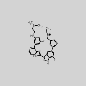 CCNCc1cncc(-c2cc(F)c3[nH]nc(-c4nc5c(-c6cc(F)cc(NCCN(C)C)c6)nccc5[nH]4)c3c2)c1